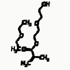 C=C(C)C(=O)OCCOCCO.CCOCC